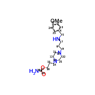 COc1ccc(CNCCCN2CCN(CCCOC(N)=O)CC2)cc1